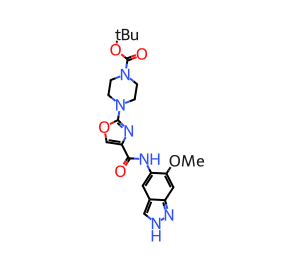 COc1cc2n[nH]cc2cc1NC(=O)c1coc(N2CCN(C(=O)OC(C)(C)C)CC2)n1